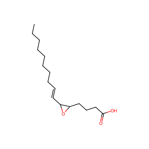 CCCCCCCCC=CC1OC1CCCC(=O)O